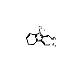 C/C=c1/c2c(n(C)/c1=C/CCC)C=CCC2